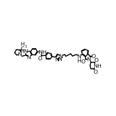 C[C@H]1CCCN1Cc1nc2cc(NC(=O)c3ccc(-c4cn(CCCCCNc5cccc6c5C(=O)N(C5CCC(=O)NC5=O)C6=O)nn4)cc3)ccc2[nH]1